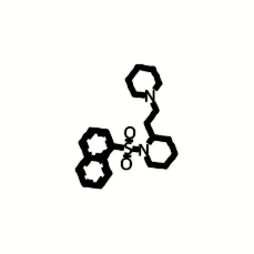 O=S(=O)(c1cccc2ccccc12)N1CCCCC1CCN1CCCCC1